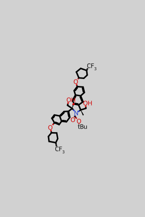 CC(C)(C)OC(=O)N([C@@](C)(CO)c1ccc2cc(OC3CCC(C(F)(F)F)CC3)ccc2c1)[C@@](C)(CO)c1ccc2cc(OC3CCC(C(F)(F)F)CC3)ccc2c1